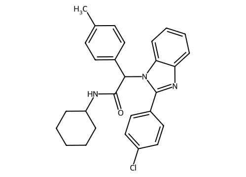 Cc1ccc(C(C(=O)NC2CCCCC2)n2c(-c3ccc(Cl)cc3)nc3ccccc32)cc1